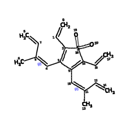 C=CC1=C(/C=C(/C)C=C)C(/C=C(/C)C=C)=C(C=C)S1(=O)=O